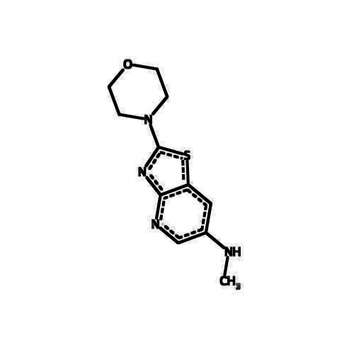 CNc1cnc2nc(N3CCOCC3)sc2c1